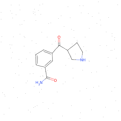 NC(=O)c1cccc(C(=O)C2CCNC2)c1